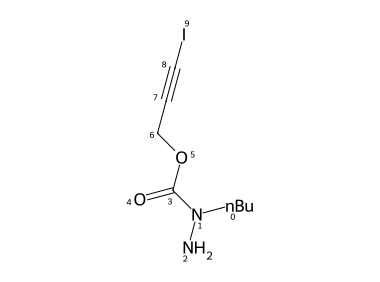 CCCCN(N)C(=O)OCC#CI